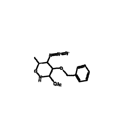 CC(=O)OC1NOC(C)C(N=[N+]=[N-])C1OCc1ccccc1